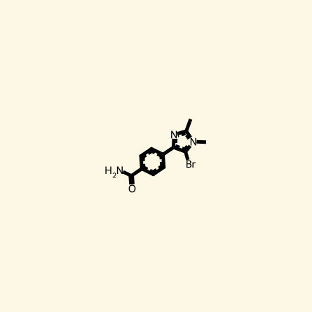 Cc1nc(-c2ccc(C(N)=O)cc2)c(Br)n1C